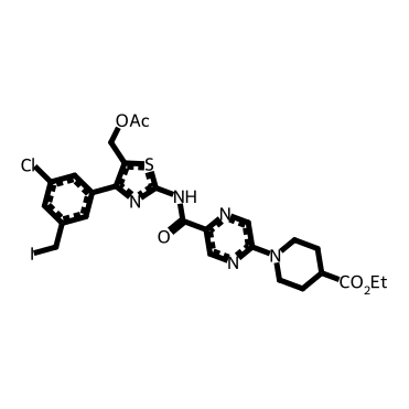 CCOC(=O)C1CCN(c2cnc(C(=O)Nc3nc(-c4cc(Cl)cc(CI)c4)c(COC(C)=O)s3)cn2)CC1